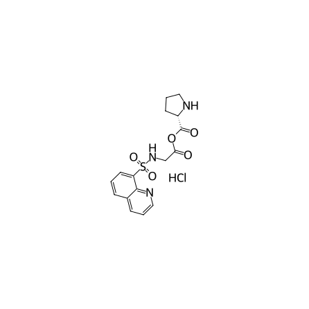 Cl.O=C(CNS(=O)(=O)c1cccc2cccnc12)OC(=O)[C@@H]1CCCN1